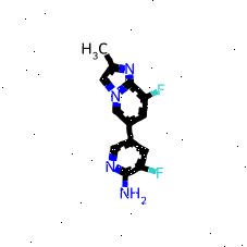 Cc1cn2cc(-c3cnc(N)c(F)c3)cc(F)c2n1